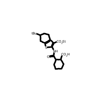 CCOC(=O)c1c(NC(=O)C2CCCCC2C(=O)O)sc2c1CCC(C(C)(C)C)C2